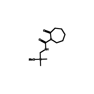 CO[Si](C)(C)CNC(=O)N1CCCCCC1=O